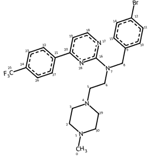 CN1CCN(CCN(Cc2ccc(Br)cc2)c2nccc(-c3ccc(C(F)(F)F)cc3)n2)CC1